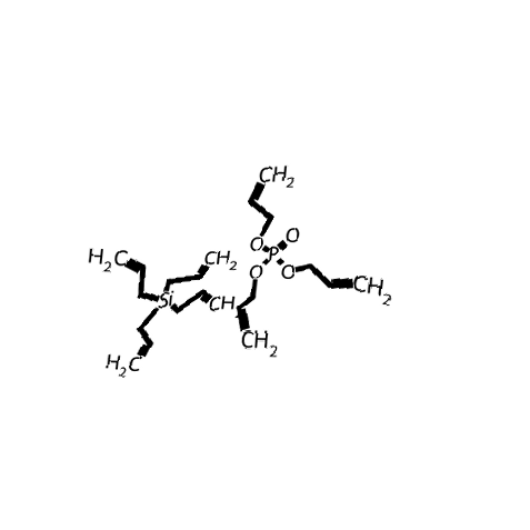 C=CCOP(=O)(OCC=C)OCC=C.C=CC[Si](CC=C)(CC=C)CC=C